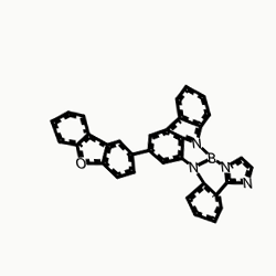 c1ccc2c(c1)-c1nccn1B1N2c2cc(-c3ccc4oc5ccccc5c4c3)cc3c4ccccc4n1c23